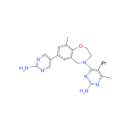 Cc1cc(-c2cnc(N)nc2)cc2c1OCCN(c1nc(N)nc(C)c1C(C)C)C2